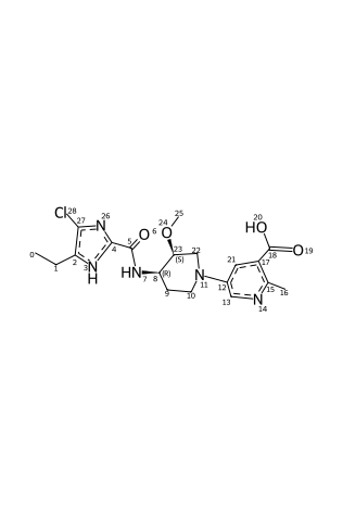 CCc1[nH]c(C(=O)N[C@@H]2CCN(c3cnc(C)c(C(=O)O)c3)C[C@@H]2OC)nc1Cl